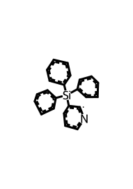 [c]1ncccc1[Si](c1ccccc1)(c1ccccc1)c1ccccc1